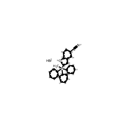 Br.CP(c1ccccc1)(c1ccccc1)(c1ccccc1)c1cc2cc(C#N)ccc2o1